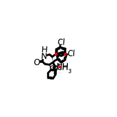 CC1=CC=CCC1[C@H]1CC(=O)NCC(c2cccc(Cl)c2)[C@]12C(=O)Nc1cc(Cl)ccc12